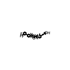 Cc1c(C#CC(C)(C)O)ccc2nc(C(=O)Nc3nc4cc(-c5cccc(C(F)(F)F)c5)ccc4[nH]3)cn12